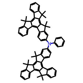 CC1(C)c2ccccc2-c2c3c(c4c(c21)-c1ccccc1C4(C)C)C(C)(C)c1cc(N(c2ccccc2)c2ccc4c(c2)C(C)(C)c2c-4c4c(c5c2C(C)(C)c2ccccc2-5)C(C)(C)c2ccccc2-4)ccc1-3